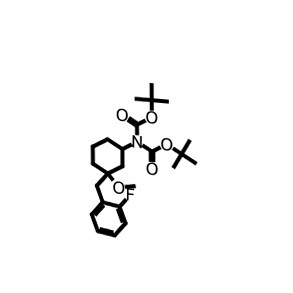 COC1(Cc2ccccc2F)CCCC(N(C(=O)OC(C)(C)C)C(=O)OC(C)(C)C)C1